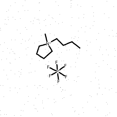 CCCC[N+]1(C)CCCC1.F[P-](F)(F)(F)(F)F